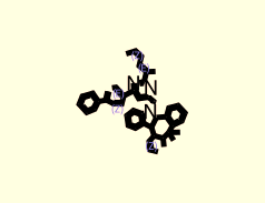 C=C(/C=C\C(=C/C)c1cc(CN2c3ccccc3C3C(/C=C\C)C(C)C(C)(C)c4ccccc4C32)nc(/C(C)=C/C=C\C)n1)c1ccccc1